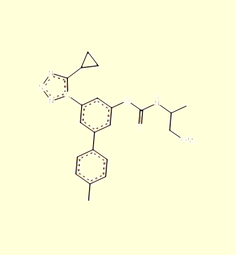 COCC(C)NC(=O)Oc1cc(-c2ccc(C)cc2)cc(-n2nnnc2C2CC2)c1